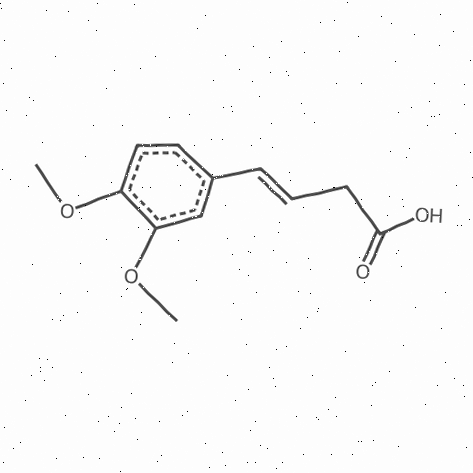 COc1ccc(/C=C/CC(=O)O)cc1OC